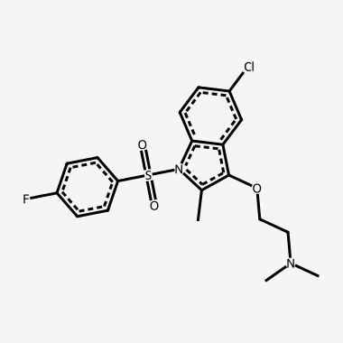 Cc1c(OCCN(C)C)c2cc(Cl)ccc2n1S(=O)(=O)c1ccc(F)cc1